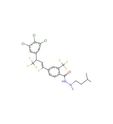 CC(C)CCN(C)NC(=O)c1ccc(C(F)=CC(c2cc(Cl)c(Cl)c(Cl)c2)C(F)(F)F)cc1C(F)(F)F